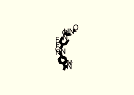 Cc1nn(C)c2cc(-c3noc(C4CCN(C(=O)CNC=O)CC4(F)F)n3)ccc12